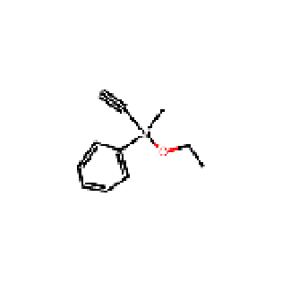 C#C[Si](C)(OCC)c1ccccc1